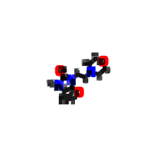 CCCC1C(=O)N(CCN2CCOCC2)C(=O)N1C